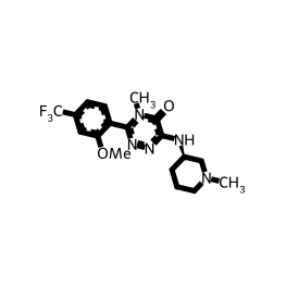 COc1cc(C(F)(F)F)ccc1-c1nnc(N[C@@H]2CCCN(C)C2)c(=O)n1C